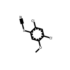 COc1cc(SC#N)c(Cl)cc1Cl